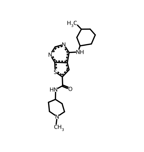 CC1CCCC(Nc2ncnc3sc(C(=O)NC4CCN(C)CC4)cc23)C1